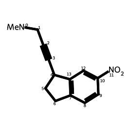 CNCC#CC1CCc2ccc([N+](=O)[O-])cc21